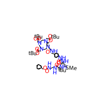 CC[C@H](C)[C@H](NC(=O)[C@H](CCSC)NC(=O)Nc1ccc(CNC(=O)CN2CCN(CC(=O)OC(C)(C)C)CCN(CC(=O)OC(C)(C)C)CCN(CC(=O)OC(C)(C)C)CC2)cc1)C(=O)NCCNC(=O)OCc1ccccc1